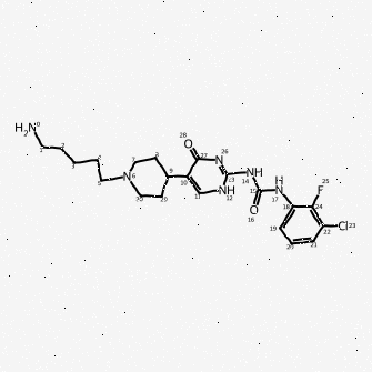 NCCCCCN1CCC(c2c[nH]c(NC(=O)Nc3cccc(Cl)c3F)nc2=O)CC1